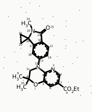 CCOC(=O)c1cnc2c(c1)OC(C)(C)CN2c1ccc2c(c1)C1(CC1)N(C)C2=O